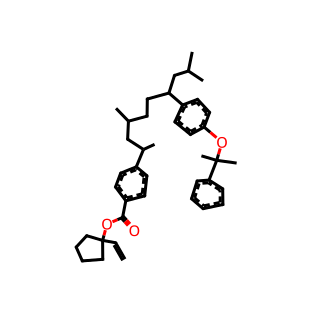 C=CC1(OC(=O)c2ccc(C(C)CC(C)CCC(CC(C)C)c3ccc(OC(C)(C)c4ccccc4)cc3)cc2)CCCC1